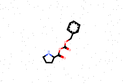 O=C(OCc1ccccc1)OC(=O)C1CCCN1